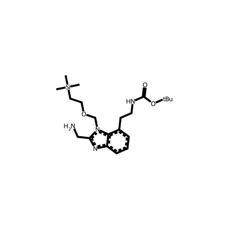 CC(C)(C)OC(=O)NCCc1cccc2nc(CN)n(COCC[Si](C)(C)C)c12